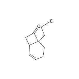 O=C1CC2C=CCCC12CCCl